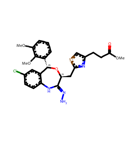 COC(=O)CCc1csc(C[C@@H]2O[C@@H](c3cccc(OC)c3OC)c3cc(Cl)ccc3NC2=NN)n1